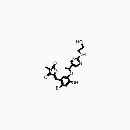 CC(Oc1cc(/C=C2\SC(=O)N(C)C2=O)c(Br)cc1O)c1cnc(NCCO)nc1